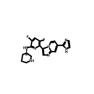 Fc1cc(F)c(-c2cnc3cc(-c4ncc[nH]4)ccn23)nc1N[C@@H]1CCCNC1